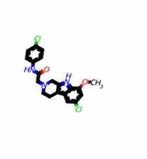 COc1cc(Cl)cc2c3c([nH]c12)CN(CC(=O)Nc1ccc(Cl)cc1)CC3